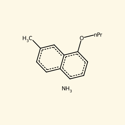 CCCOc1cccc2ccc(C)cc12.N